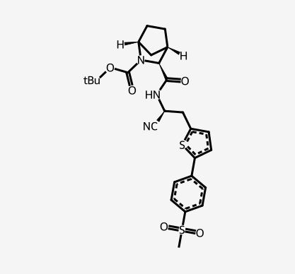 CC(C)(C)OC(=O)N1[C@@H]2CC[C@@H](C2)[C@H]1C(=O)N[C@H](C#N)Cc1ccc(-c2ccc(S(C)(=O)=O)cc2)s1